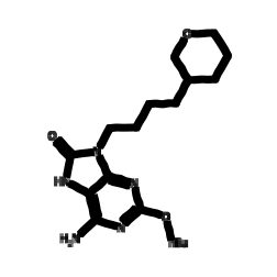 CCCCOc1nc(N)c2[nH]c(=O)n(CCCCC3CCCOC3)c2n1